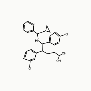 OC(O)CCC(c1cccc(Cl)c1)C(NC(c1ccccn1)C1CC1)c1ccc(Cl)cc1